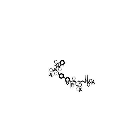 C[n+]1cc(-c2ccc(OC[C@H](ON3C(=O)c4ccccc4C3=O)C(=O)OC(C)(C)C)cc2)ccc1NC(=O)[C@H](CCCCNC(=O)OC(C)(C)C)NC(=O)OC(C)(C)C